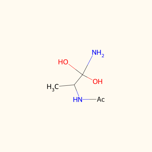 CC(=O)NC(C)C(N)(O)O